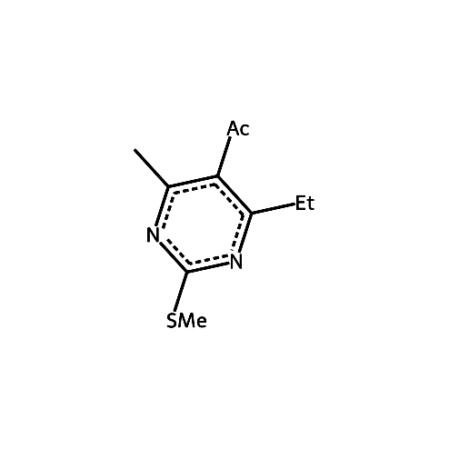 CCc1nc(SC)nc(C)c1C(C)=O